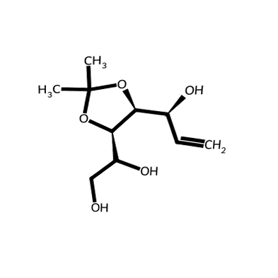 C=C[C@H](O)[C@@H]1OC(C)(C)O[C@@H]1C(O)CO